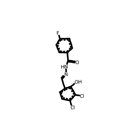 O=C(N/N=C/c1ccc(Cl)c(Cl)c1O)c1ccc(F)cc1